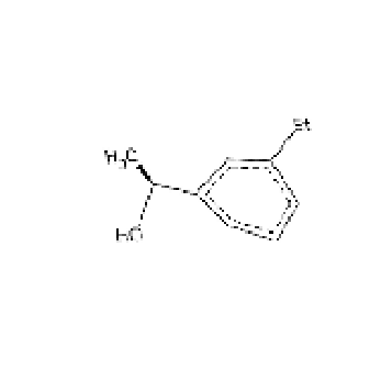 CCc1cccc([C@H](C)O)c1